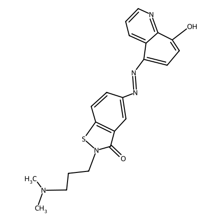 CN(C)CCCn1sc2ccc(N=Nc3ccc(O)c4ncccc34)cc2c1=O